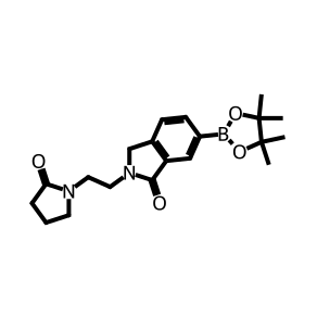 CC1(C)OB(c2ccc3c(c2)C(=O)N(CCN2CCCC2=O)C3)OC1(C)C